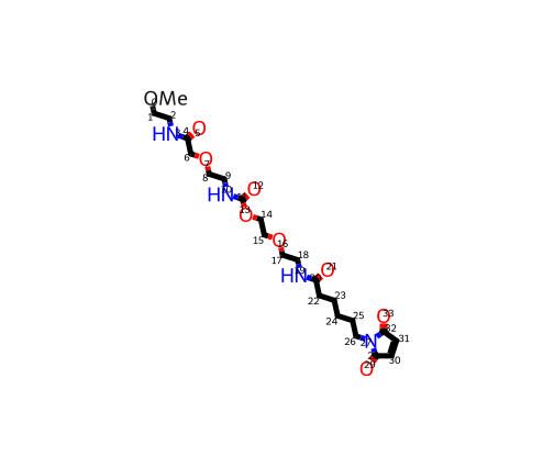 COCCNC(=O)COCCNC(=O)OCCOCCNC(=O)CCCCCN1C(=O)C=CC1=O